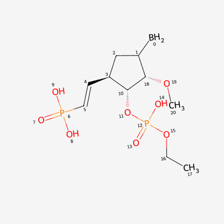 BC1C[C@H](/C=C/P(=O)(O)O)[C@@H](OP(=O)(O)OCC)[C@H]1OC